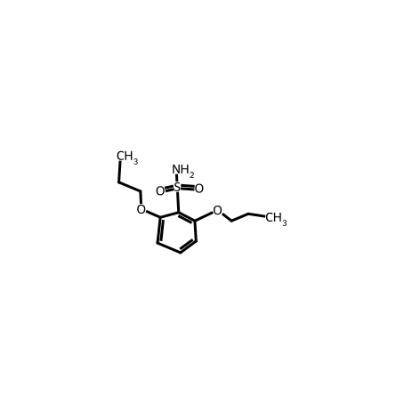 CCCOc1cccc(OCCC)c1S(N)(=O)=O